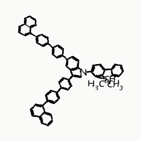 C[SH]12(C)c3ccccc3-c3ccc(-n4cc(-c5ccc(-c6ccc(-c7cccc8ccccc78)cc6)cc5)c5cc(-c6ccc(-c7ccc(-c8cccc9ccccc89)cc7)cc6)ccc54)c1c32